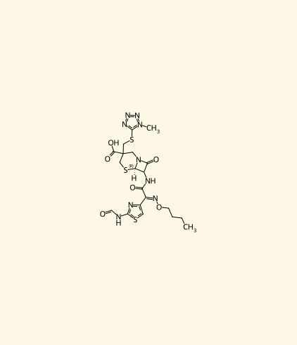 CCCCON=C(C(=O)NC1C(=O)N2CC(CSc3nnnn3C)(C(=O)O)CS[C@H]12)c1csc(NC=O)n1